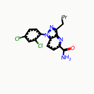 CC(C)Cc1nn(-c2ccc(Cl)cc2Cl)c2ccc(C(N)=O)nc12